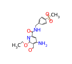 CCOc1nc(C(=O)NCc2ccc(S(C)(=O)=O)cc2)cc(N)c1C=O